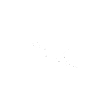 COc1ccc(-c2c3ccc(=O)cc-3oc3cc(OCOP(=O)(O)OC[C@H]4O[C@@H](n5cc(C)c(=O)[nH]c5=O)CC4O)ccc23)c(C)c1